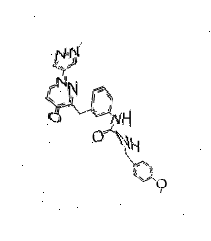 COc1ccc(CNC(=O)Nc2cccc(Cc3nn(-c4cnn(C)c4)ccc3=O)c2)cc1